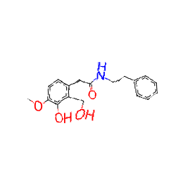 COc1ccc(CC(=O)NCCc2ccccc2)c(CO)c1O